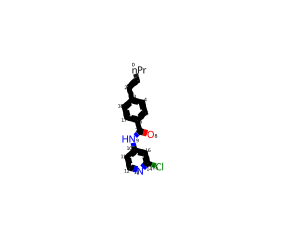 CCC/C=C/c1ccc(C(=O)Nc2ccnc(Cl)c2)cc1